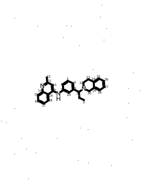 CCC(c1cccc(Nc2cc(C)nc3ccccc23)c1)N1CCc2ccccc2C1